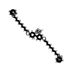 [Br-].[Br-].c1cc(-c2ccc(OCCCCCCCCCC[N+]34CCC(CC3)CC4)cc2)ccc1OCCCCCCCCCC[N+]12CCC(CC1)CC2